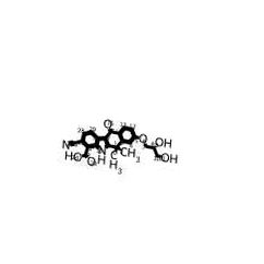 CC1(C)c2cc(OC[C@@H](O)CO)ccc2C(=O)c2c1[nH]c1c(C(=O)O)c(C#N)ccc21